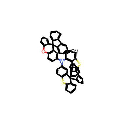 N#Cc1ccc2c(c1)-c1ccccc1C21c2ccccc2Oc2ccc(N(c3ccc4c(c3)C3(c5ccccc5S4)c4ccccc4-c4ccccc43)c3cccc4sc5ccccc5c34)cc21